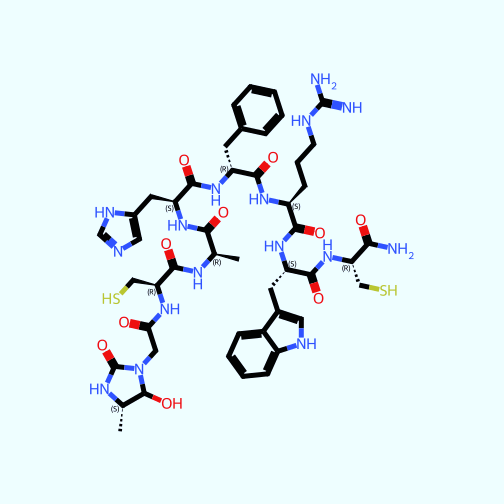 C[C@@H]1NC(=O)N(CC(=O)N[C@@H](CS)C(=O)N[C@H](C)C(=O)N[C@@H](Cc2cnc[nH]2)C(=O)N[C@H](Cc2ccccc2)C(=O)N[C@@H](CCCNC(=N)N)C(=O)N[C@@H](Cc2c[nH]c3ccccc23)C(=O)N[C@@H](CS)C(N)=O)C1O